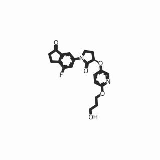 O=C1CCc2c(F)cc(N3CC[C@@H](Oc4ccc(OCCCO)nc4)C3=O)cc21